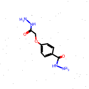 NNC(=O)COc1ccc(C(=O)NN)cc1